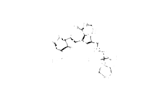 COc1cc(C)cc2cc(-c3cc(CNCC(C)(C)N4CCOCC4)n4ncnc(N)c34)sc12